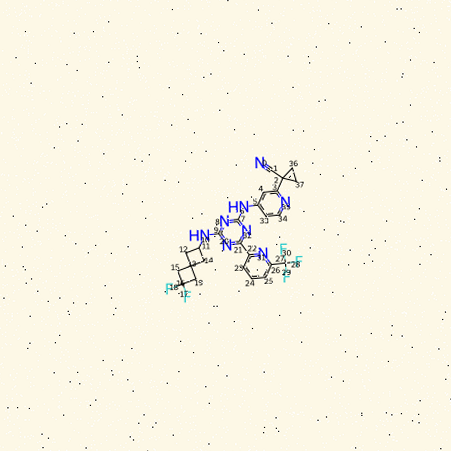 N#CC1(c2cc(Nc3nc(NC4CC5(C4)CC(F)(F)C5)nc(-c4cccc(C(F)(F)F)n4)n3)ccn2)CC1